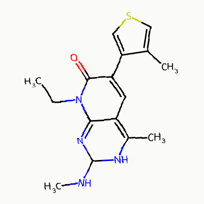 CCn1c(=O)c(-c2cscc2C)cc2c1=NC(NC)NC=2C